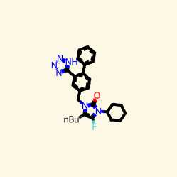 CCCCc1c(F)n(C2CCCCC2)c(=O)n1Cc1ccc(-c2ccccc2)c(-c2nnn[nH]2)c1